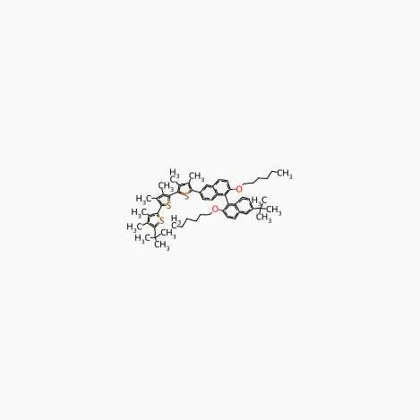 CCCCCCOc1ccc2cc(-c3sc(-c4sc(-c5sc(C(C)(C)C)c(C)c5C)c(C)c4C)c(C)c3C)ccc2c1-c1c(OCCCCCC)ccc2cc(C(C)(C)C)ccc12